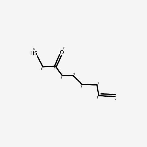 C=CCCCCC(=O)CS